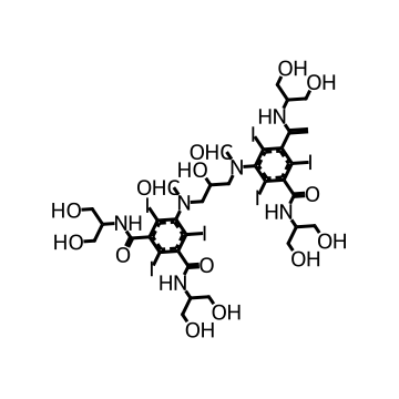 C=C(NC(CO)CO)c1c(I)c(C(=O)NC(CO)CO)c(I)c(N(C=O)CC(O)CN(C=O)c2c(I)c(C(=O)NC(CO)CO)c(I)c(C(=O)NC(CO)CO)c2I)c1I